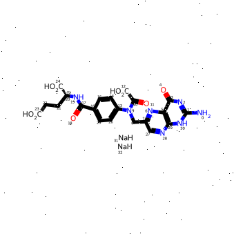 Nc1nc(=O)c2nc(CN(C(=O)C(=O)O)c3ccc(C(=O)N[C@@H](CCC(=O)O)C(=O)O)cc3)cnc2[nH]1.[NaH].[NaH]